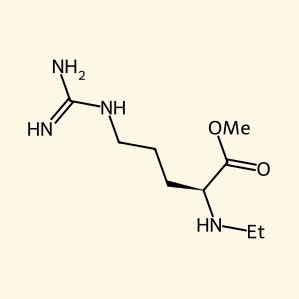 CCN[C@@H](CCCNC(=N)N)C(=O)OC